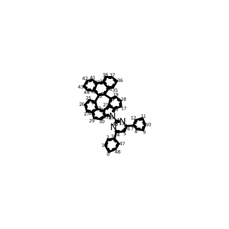 c1ccc(-c2cc(-c3ccccc3)nc(-n3c4cccc5c4c4c6c(cccc6ccc43)-c3c-5c4ccccc4c4ccccc34)n2)cc1